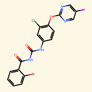 O=C(NC(=O)c1ccccc1Br)Nc1ccc(Oc2ncc(I)cn2)c(Cl)c1